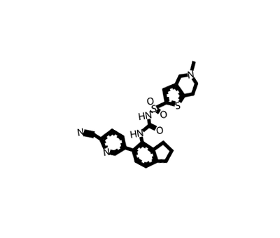 CN1CCc2sc(S(=O)(=O)NC(=O)Nc3c(-c4ccc(C#N)nc4)ccc4c3CCC4)cc2C1